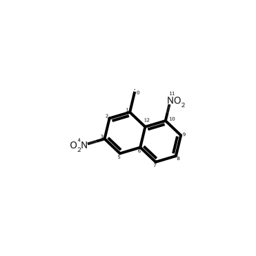 [CH2]c1cc([N+](=O)[O-])cc2cccc([N+](=O)[O-])c12